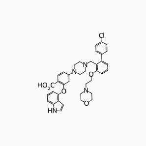 O=C(O)c1ccc(N2CCN(Cc3c(OCCN4CCOCC4)cccc3-c3ccc(Cl)cc3)CC2)cc1Oc1cccc2[nH]ccc12